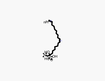 CCC/C=C\CCCCCCC/C=C\CCCCCCC(O)(C[N+](C)(C)C)P(=O)(O)O